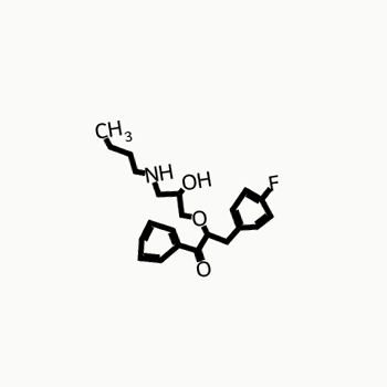 CCCCNCC(O)COC(Cc1ccc(F)cc1)C(=O)c1ccccc1